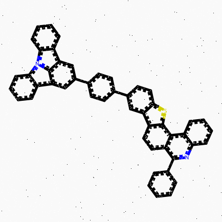 c1ccc(-c2nc3ccccc3c3c2ccc2c4cc(-c5ccc(-c6cc7c8ccccc8n8c9ccccc9c(c6)c78)cc5)ccc4sc23)cc1